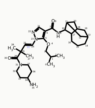 CC(C)COc1c(C(=O)NC2C3CC4CCCC2C(C4)C3)cnn1/C=C/C(C)(C)C(=O)N1CCC(N)CC1